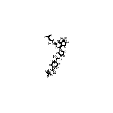 CC(C)CCNc1nc(N2CC[C@H](CC(=O)N3CCN(C(=O)OC(C)(C)C)CC3)C2)c2c(n1)C(F)(F)CC2